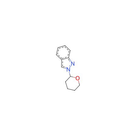 c1ccc2nn(C3CCCCO3)cc2c1